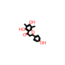 Cc1c(O)c(C)c2c(c1O)C(=O)CC(c1ccc(O)cc1)O2